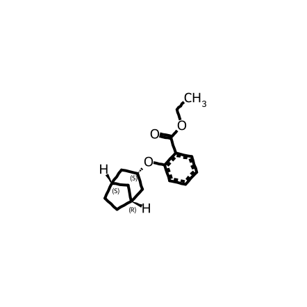 CCOC(=O)c1ccccc1O[C@@H]1C[C@@H]2CC[C@@H](C2)C1